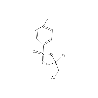 CCS(CC)(CC(C)=O)OS(=O)(=O)c1ccc(C)cc1